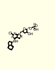 O=[PH](O)COC[C@H]1O[C@H](Cn2ncc3c(N[C@@H]4CCc5ccccc54)nc(Cl)nc32)CC1O